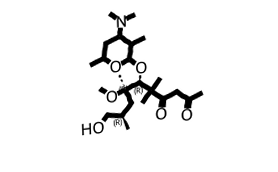 CO[C@](C)(C[C@@H](C)CO)[C@H](OC1OC(C)CC(N(C)C)C1C)C(C)(C)C(=O)CC(C)=O